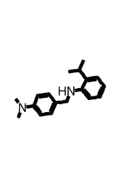 CC(C)c1ccccc1NCc1ccc(N(C)C)cc1